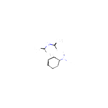 CC(C)NC(C)C.CN(C)C1CCCCC1